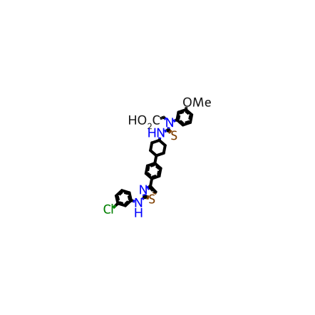 COc1cccc(N(CC(=O)O)C(=S)NC2CCC(c3ccc(-c4csc(Nc5cccc(Cl)c5)n4)cc3)CC2)c1